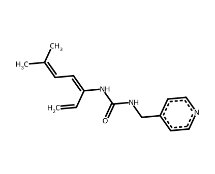 C=C/C(=C\C=C(C)C)NC(=O)NCc1ccncc1